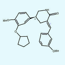 COc1cccc(/C=C2\C[C@@H](c3ccc(OC)c(OC4CCCC4)c3)CNC2=O)c1